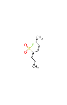 C=C/C=C\C(=C/C=C)S(=O)(=O)F